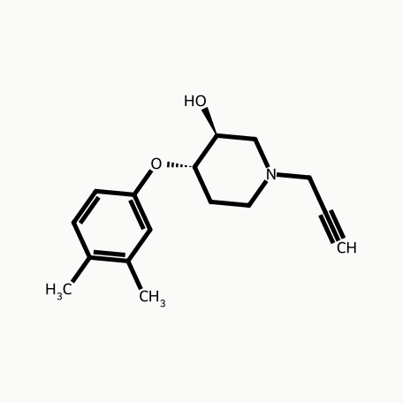 C#CCN1CC[C@H](Oc2ccc(C)c(C)c2)[C@@H](O)C1